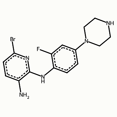 Nc1ccc(Br)nc1Nc1ccc(N2CCNCC2)cc1F